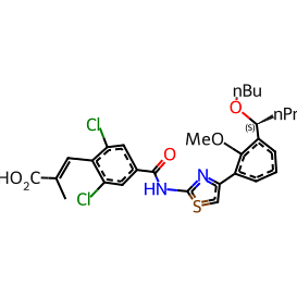 CCCCO[C@@H](CCC)c1cccc(-c2csc(NC(=O)c3cc(Cl)c(C=C(C)C(=O)O)c(Cl)c3)n2)c1OC